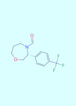 O=CN1CCCOC[C@H]1c1ccc(C(F)(F)F)cc1